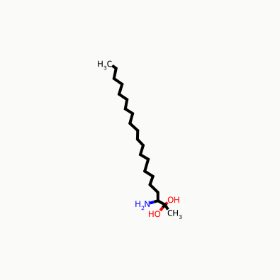 CCCCCCCCCCCCCCCCCCC(N)C(C)(O)O